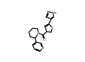 O=C(C1C=C(c2cn[nH]c2)SC1)N1CCCCC1c1cccnc1